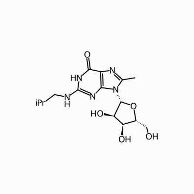 Cc1nc2c(=O)[nH]c(NCC(C)C)nc2n1[C@@H]1O[C@H](CO)[C@@H](O)[C@H]1O